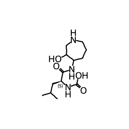 CC(C)C[C@H](NC(=O)O)C(=O)NC1CCCNCC1O